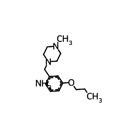 CCCOc1cccc(CN2CCN(C)CC2)c1.N